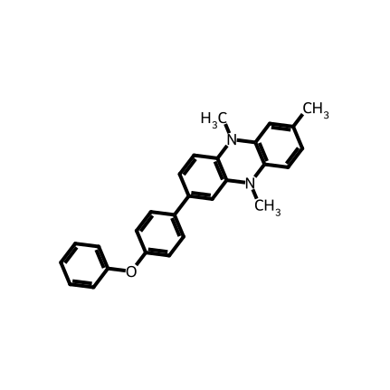 Cc1ccc2c(c1)N(C)c1ccc(-c3ccc(Oc4ccccc4)cc3)cc1N2C